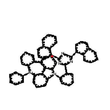 c1ccc(-n2c3ccccc3c3cccc4c3c3c2cccc3n4-c2ccccc2-c2nc(-c3cccc4ccccc34)nc(-c3cccc4ccccc34)n2)cc1